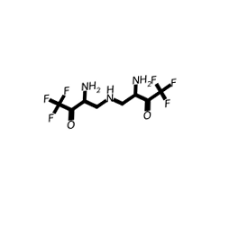 NC(CNCC(N)C(=O)C(F)(F)F)C(=O)C(F)(F)F